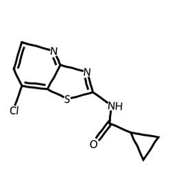 O=C(Nc1nc2nccc(Cl)c2s1)C1CC1